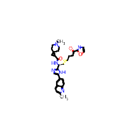 Cc1ccc2cc(-c3cnc([C@H](CSCCCC(=O)c4ncco4)NC(=O)C4CC45CCN(C)CC5)[nH]3)ccc2n1